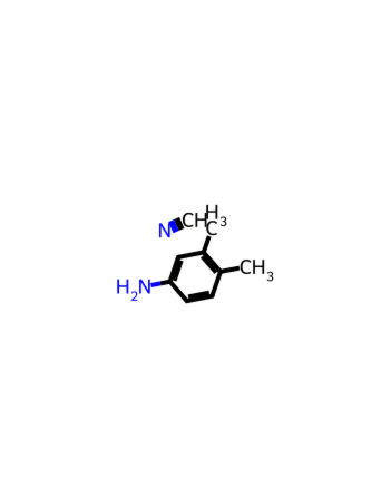 C#N.Cc1ccc(N)cc1C